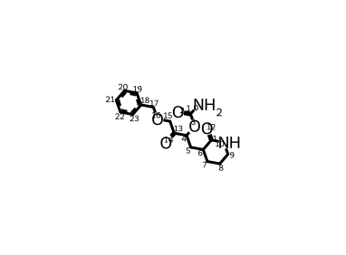 NC(=O)OC(CC1CCCNC1=O)C(=O)COCc1ccccc1